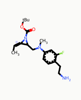 C/C=C1\C(CN(C)c2ccc(CCN)c(F)c2)N1C(=O)OC(C)(C)C